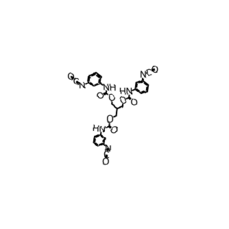 O=C=Nc1cccc(NC(=O)OCC(COC(=O)Nc2cccc(N=C=O)c2)COC(=O)Nc2cccc(N=C=O)c2)c1